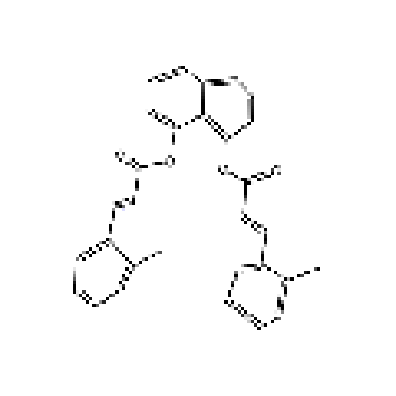 Cc1ccccc1C=CC(=O)Oc1cccc2cccc(OC(=O)/C=C/c3ccccc3C)c12